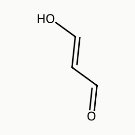 O=CC=CO